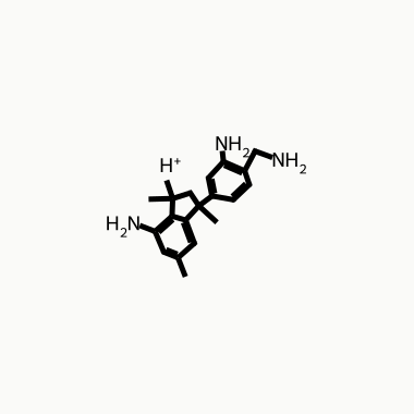 Cc1cc(N)c2c(c1)C(C)(c1ccc(CN)c(N)c1)CC2(C)C.[H+]